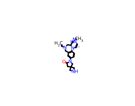 C=CN1Cc2cc(N3CC4(CNC4)CC3=O)ccc2N(/C=C\NC)C(C#N)C1